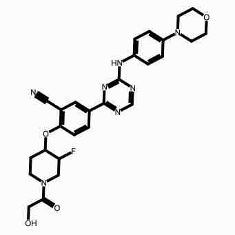 N#Cc1cc(-c2ncnc(Nc3ccc(N4CCOCC4)cc3)n2)ccc1OC1CCN(C(=O)CO)CC1F